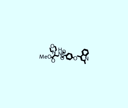 COC(=O)C(CNS(=O)(=O)c1ccc(OCc2cc(C)nc3ccccc23)cc1)N1CCOCC1